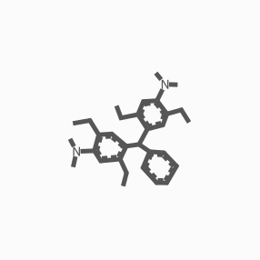 CCc1cc(N(C)C)c(CC)cc1C(c1ccccc1)c1cc(CC)c(N(C)C)cc1CC